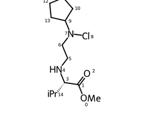 COC(=O)[C@@H](NCCN(Cl)C1CCCC1)C(C)C